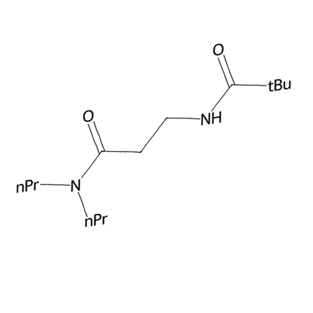 CCCN(CCC)C(=O)CCNC(=O)C(C)(C)C